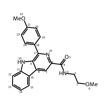 COCCNC(=O)c1cc2c([nH]c3ccccc32)c(-c2ccc(OC)cc2)n1